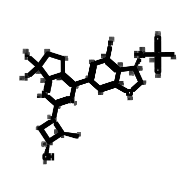 C[C@H]1[C@H](O)CN1c1nc(-c2cc(F)c3c(c2)OC[C@H]3NS(C)(=O)=O)c2c(n1)C(F)(F)CC2